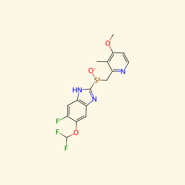 COc1ccnc(C[S+]([O-])c2nc3cc(OC(F)F)c(F)cc3[nH]2)c1C